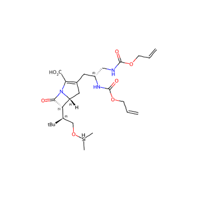 C=CCOC(=O)NC[C@@H](CC1=C(C(=O)O)N2C(=O)[C@@H]([C@@H](CO[SiH](C)C)C(C)(C)C)[C@H]2C1)NC(=O)OCC=C